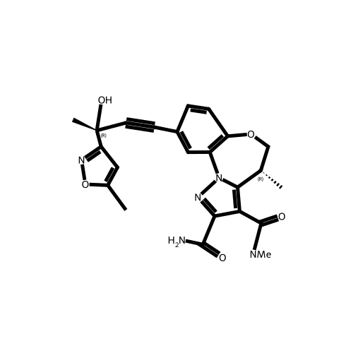 CNC(=O)c1c(C(N)=O)nn2c1[C@@H](C)COc1ccc(C#C[C@@](C)(O)c3cc(C)on3)cc1-2